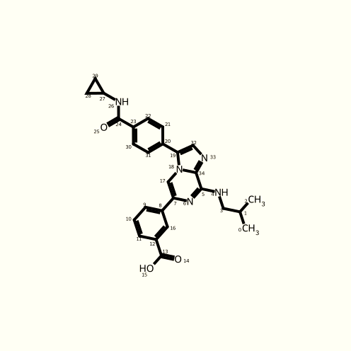 CC(C)CNc1nc(-c2cccc(C(=O)O)c2)cn2c(-c3ccc(C(=O)NC4CC4)cc3)cnc12